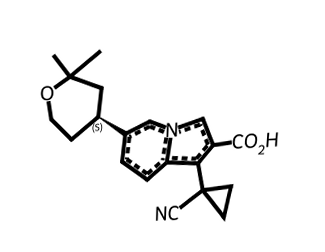 CC1(C)C[C@@H](c2ccc3c(C4(C#N)CC4)c(C(=O)O)cn3c2)CCO1